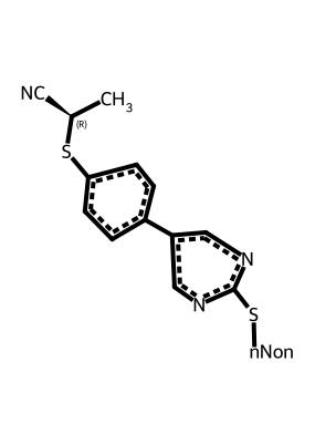 CCCCCCCCCSc1ncc(-c2ccc(S[C@H](C)C#N)cc2)cn1